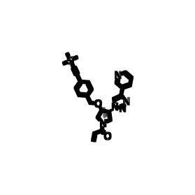 C=CC(=O)N1C[C@@H](n2cc(-c3cccnc3)nn2)[C@H](OCc2ccc(C#C[Si](C)(C)C)cc2)C1